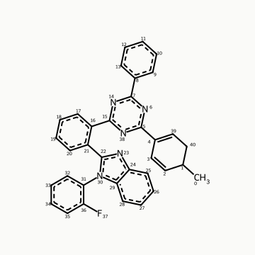 CC1C=CC(c2nc(-c3ccccc3)nc(-c3ccccc3-c3nc4ccccc4n3-c3ccccc3F)n2)=CC1